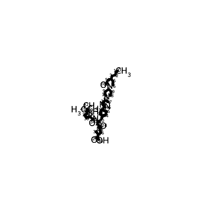 CCCCC1CCN(C2CCN(c3cnc(-c4ccc(C[C@@H](CC(=O)N5CC(C(=O)O)C5)NC(=O)c5ccc(C(C)(C)C)s5)cc4)nc3)CC2)C(=O)C1